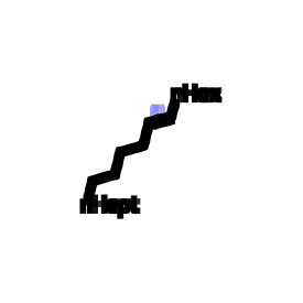 CCCCC[CH]CCCCC/C=C/CCCCCC